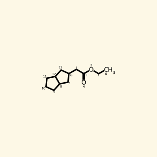 CCOC(=O)CC1CC2CCCC2C1